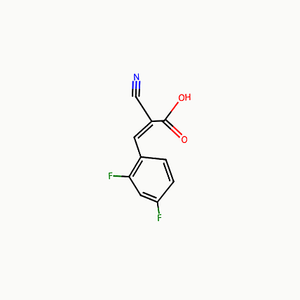 N#CC(=Cc1ccc(F)cc1F)C(=O)O